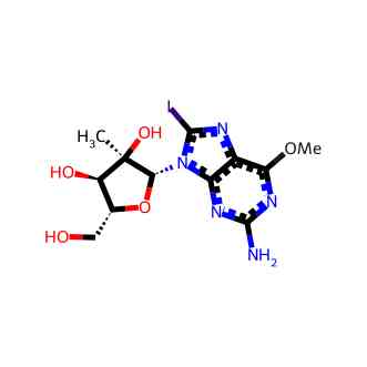 COc1nc(N)nc2c1nc(I)n2[C@@H]1O[C@H](CO)[C@@H](O)[C@@]1(C)O